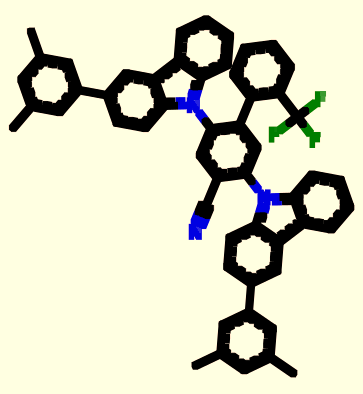 Cc1cc(C)cc(-c2ccc3c(c2)c2ccccc2n3-c2cc(-c3ccccc3C(F)(F)F)c(-n3c4ccccc4c4cc(-c5cc(C)cc(C)c5)ccc43)cc2C#N)c1